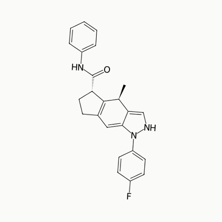 C[C@H]1C2=CNN(c3ccc(F)cc3)C2=CC2=C1[C@@H](C(=O)Nc1ccccc1)CC2